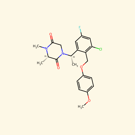 COc1ccc(OCc2c(Cl)cc(F)cc2[C@H](C)N2CC(=O)N(C)[C@@H](C)C2=O)cc1